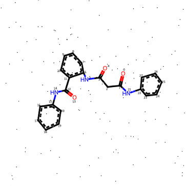 O=C(CC(=O)Nc1ccccc1C(=O)Nc1ccccc1)Nc1ccccc1